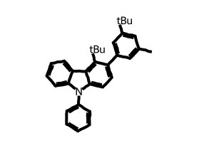 Cc1cc(-c2ccc3c(c2C(C)(C)C)c2ccccc2n3-c2ccccc2)cc(C(C)(C)C)c1